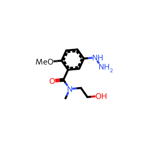 COc1ccc(NN)cc1C(=O)N(C)CCO